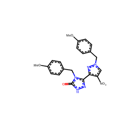 COc1ccc(Cn2cc([N+](=O)[O-])c(-c3n[nH]c(=O)n3Cc3ccc(OC)cc3)n2)cc1